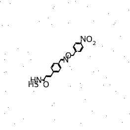 O=C(/C=C/c1ccc(C=NOCc2ccc([N+](=O)[O-])cc2)cc1)NS